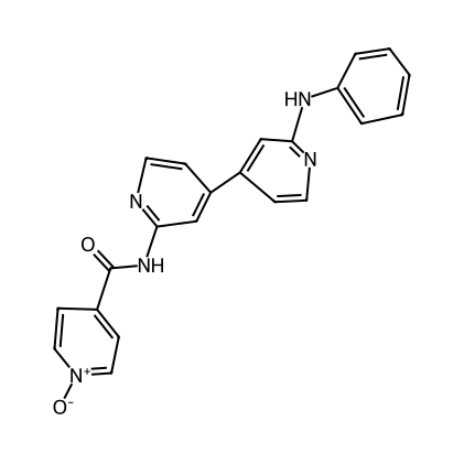 O=C(Nc1cc(-c2ccnc(Nc3ccccc3)c2)ccn1)c1cc[n+]([O-])cc1